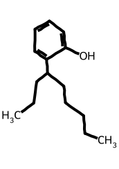 CCCCCC(CCC)c1ccccc1O